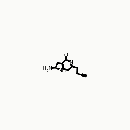 C#CCCC1=NC(=O)C2=C(C1)NC(N)C2